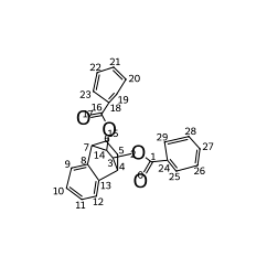 O=C(OC1C2CCC(c3ccccc32)C1OC(=O)c1ccccc1)c1ccccc1